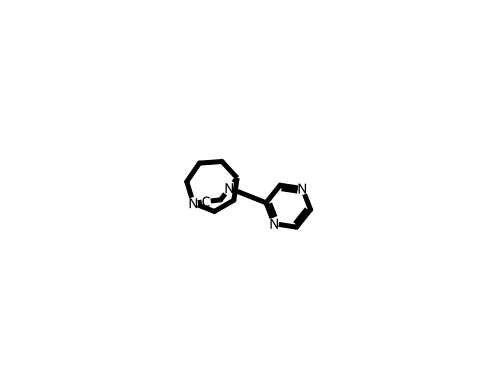 c1cnc(N2CCN3CCCC2CC3)cn1